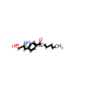 CCCCCCC(=O)c1ccc(C[C@H](N)CO)cc1